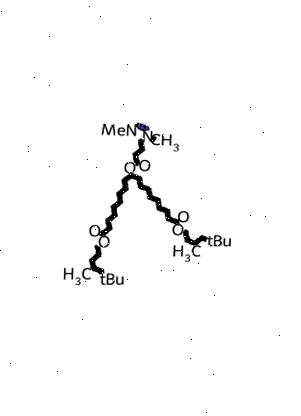 CN/C=C\N(C)CCCC(=O)OC(CCCCCCCCC(=O)OCCCC(C)CC(C)(C)C)CCCCCCCCC(=O)OCCC(C)CC(C)(C)C